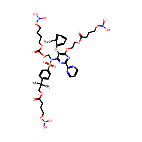 COc1ccccc1Oc1c(OCCOC(=O)CCCON(O)O)nc(-c2ncccn2)nc1N(COC(=O)OCCCCON(O)O)S(=O)(=O)c1ccc(C(C)(C)COC(=O)CCCON(O)O)cc1